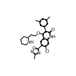 Cc1cc(C)cc(-c2c(OCCC3CCCCN3)c3cc(-c4nc(C)no4)c(Cl)cc3[nH]c2=O)c1